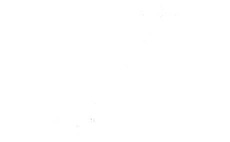 C=CC(=O)N(C)CCCCCCCCS(=O)(=O)Cl